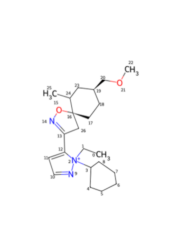 CC[N+]1(C2CCCCC2)N=CC=C1C1=NO[C@@]2(CC[C@H](COC)CC2C)C1